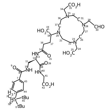 CC(C)(C)[SH](C)(F)(c1ccc(C(=O)NC[C@@H](NC(=O)CCC(C(=O)O)N2CCN(CC(=O)O)CCN(CC=O)CCN(CC(=O)O)CC2)C(=O)NCC(=O)O)cc1)C(C)(C)C